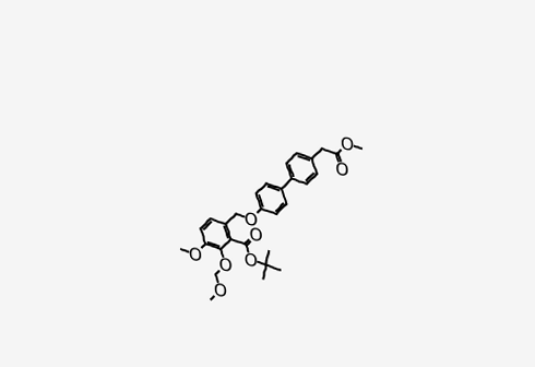 COCOc1c(OC)ccc(COc2ccc(-c3ccc(CC(=O)OC)cc3)cc2)c1C(=O)OC(C)(C)C